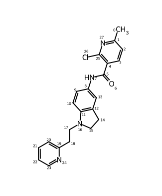 Cc1ccc(C(=O)Nc2ccc3c(c2)CCN3CCc2ccccn2)c(Cl)n1